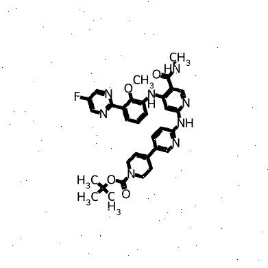 CNC(=O)c1cnc(Nc2ccc(C3=CCN(C(=O)OC(C)(C)C)CC3)cn2)cc1Nc1cccc(-c2ncc(F)cn2)c1OC